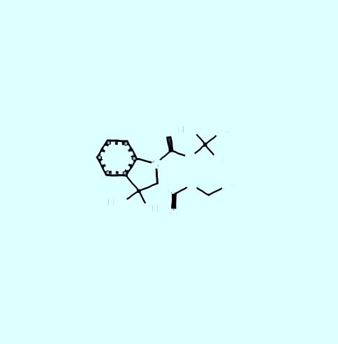 CCOC(=O)[C@H]1N(C(=O)OC(C)(C)C)c2ccccc2C1(C)C